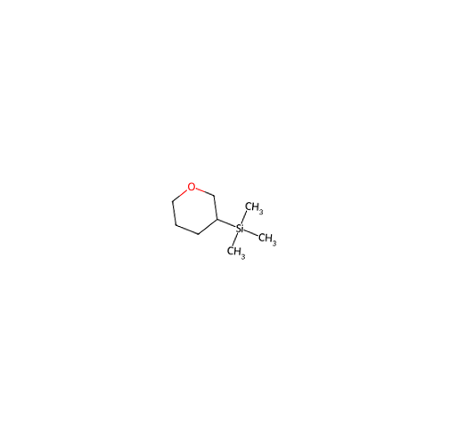 C[Si](C)(C)C1CCCOC1